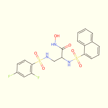 O=C(NO)C(CNS(=O)(=O)c1ccc(F)cc1F)NS(=O)(=O)c1cccc2ccccc12